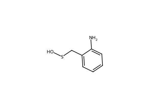 Nc1ccccc1CSO